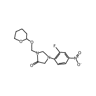 O=C1CN(c2ccc([N+](=O)[O-])cc2F)CN1COC1CCCCO1